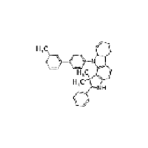 CC1C=C(c2ccc(N3c4c(ccc5c4C(C)(C)C(c4ccccc4)N5)C4C=CC=CC43)cc2)C=CC1